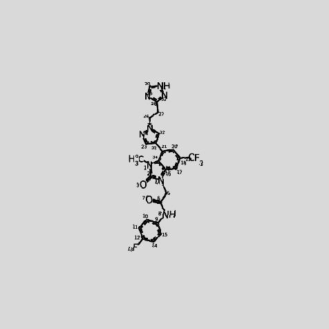 Cn1c(=O)n(CC(=O)Nc2ccc(F)cc2)c2cc(C(F)(F)F)cc(-c3cnn(CCc4nc[nH]n4)c3)c21